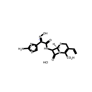 C=CC1=C(C(=O)O)N2C(=O)C(NC(=O)/C(=N\O)c3csc(N)n3)[C@H]2SC1.Cl